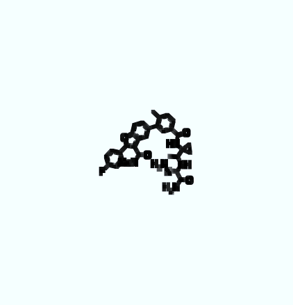 C=C(N/C(=N\N)C(N)=O)C1(NC(=O)c2ccc(C)c(-c3ccc4oc(-c5ccc(F)cc5)c(C(=O)NC)c4c3)c2)CC1